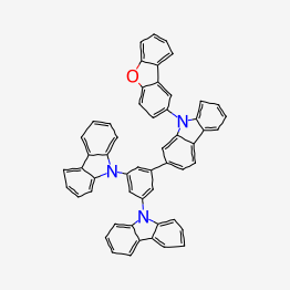 c1ccc2c(c1)oc1ccc(-n3c4ccccc4c4ccc(-c5cc(-n6c7ccccc7c7ccccc76)cc(-n6c7ccccc7c7ccccc76)c5)cc43)cc12